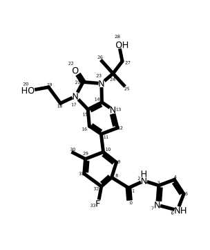 C=C(Nc1cc[nH]n1)c1cc(-c2cnc3c(c2)n(CCO)c(=O)n3C(C)(C)CO)c(C)cc1F